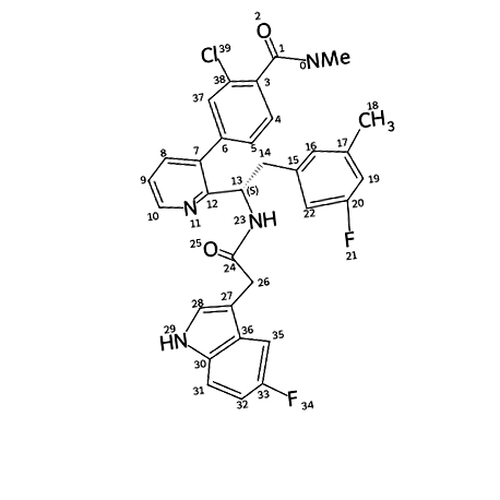 CNC(=O)c1ccc(-c2cccnc2[C@H](Cc2cc(C)cc(F)c2)NC(=O)Cc2c[nH]c3ccc(F)cc23)cc1Cl